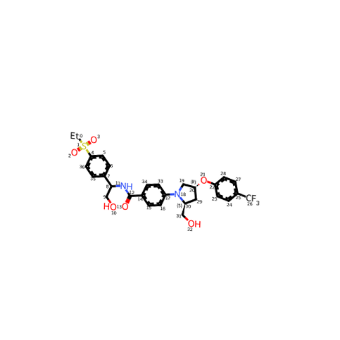 CCS(=O)(=O)c1ccc(C(CO)NC(=O)c2ccc(N3C[C@H](Oc4ccc(C(F)(F)F)cc4)C[C@H]3CO)cc2)cc1